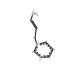 CC=CC[n+]1cccnc1